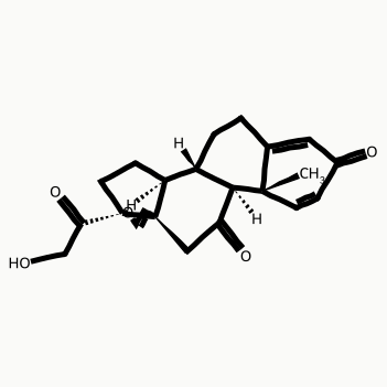 C[C@]12C=CC(=O)C=C1CC[C@@H]1[C@@H]2C(=O)C[C@]23C=CO[C@]2(C(=O)CO)CC[C@@H]13